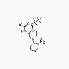 CC(C)(C)[Si](C)(C)O[C@H]1CCN(c2ccncc2[N+](=O)[O-])C[C@@H]1NC(=O)O